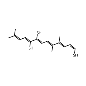 CC(C)=C/C=C(S)/C(S)=C/C=C(C)/C(C)=C/C=C\S